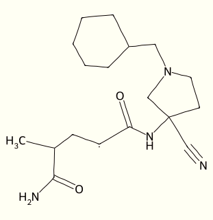 CC(C[CH]C(=O)NC1(C#N)CCN(CC2CCCCC2)C1)C(N)=O